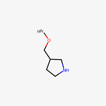 CCCOCC1CCNC1